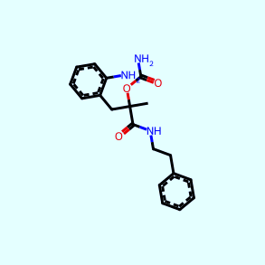 CC(Cc1ccccc1N)(OC(N)=O)C(=O)NCCc1ccccc1